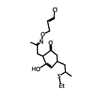 CCSC(C)CC1C=C(O)C(CC(C)=NOC/C=C/Cl)C(=O)C1